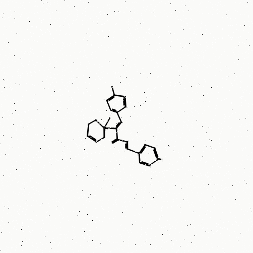 Cc1ccc(/C=C(/C(=O)/C=C/c2ccc(F)cc2)C2(C)CC=CCC2)cc1